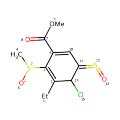 CCC1=C([S+](C)[O-])C(C(=O)OC)=CC(=S=O)C1Cl